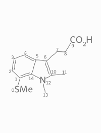 CSc1cccc2c(CCC(=O)O)c(C)n(C)c12